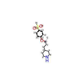 C[C@H](CCC1CCNCC1)Oc1ccc(S(C)(=O)=O)cc1